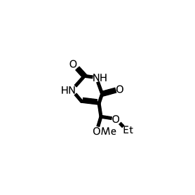 CCOC(OC)c1c[nH]c(=O)[nH]c1=O